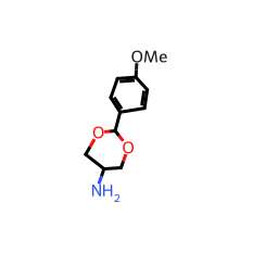 COc1ccc(C2OCC(N)CO2)cc1